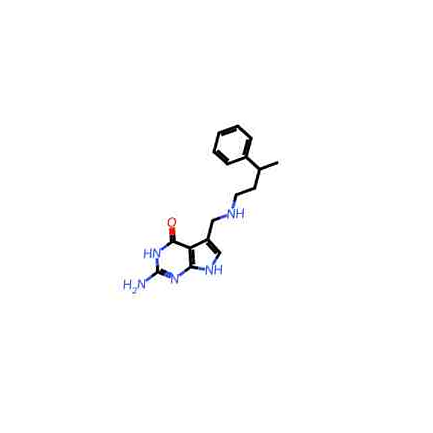 CC(CCNCc1c[nH]c2nc(N)[nH]c(=O)c12)c1ccccc1